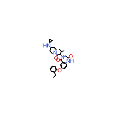 CCc1ccccc1Oc1ccc2c(c1)C(=O)N(C(C(=O)N1CCC(NC3CC3)CC1)C(C)C)CC(=O)N2